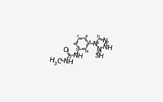 CNC(=O)Nc1cccc(N2C=NNN2S)c1